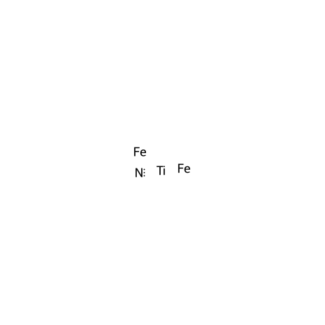 [Fe].[Fe].[N].[Ti]